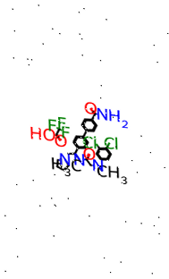 CN(CC(=O)N(C)C(CN1CCCC1)c1ccc(-c2ccc(C(N)=O)cc2)cc1)c1ccc(Cl)c(Cl)c1.O=C(O)C(F)(F)F